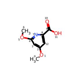 COc1cc(OC)nc(C(=O)O)c1